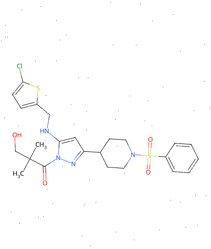 CC(C)(CO)C(=O)n1nc(C2CCN(S(=O)(=O)c3ccccc3)CC2)cc1NCc1ccc(Cl)s1